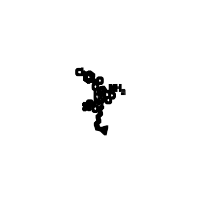 CC(C)(C)OC(=O)N[C@@H](CCCCC/C=C\C1CC1)C(=O)N1C[C@H](OC(=O)c2ccc(Cl)cc2)C[C@H]1C(N)=O